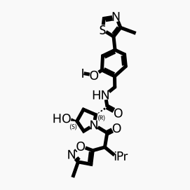 Cc1cc(C(C(=O)N2C[C@@H](O)C[C@@H]2C(=O)NCc2ccc(-c3scnc3C)cc2OI)C(C)C)on1